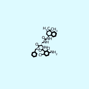 CC1(C)CCC(NC(=O)NC[C@H](NC(=O)c2c(Cl)ccc(N)c2Cl)C(=O)OCc2ccccc2)c2ccccc21